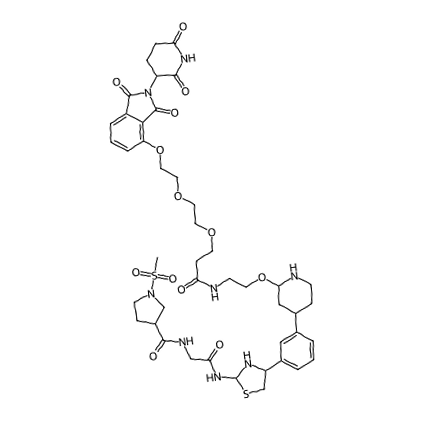 CS(=O)(=O)N1CCC(C(=O)NCC(=O)NC2NC(c3cccc(C4CCNC(OCCNC(=O)CCOCCOCCOc5cccc6c5C(=O)N(C5CCC(=O)NC5=O)C6=O)C4)c3)CS2)C1